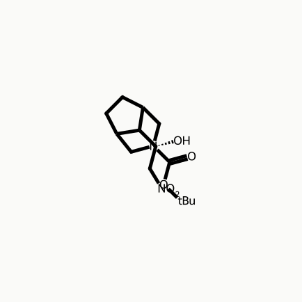 CC(C)(C)OC(=O)N1CC2CCC(C1)C2[C@H](O)C[N+](=O)[O-]